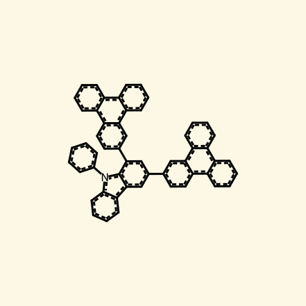 c1ccc(-n2c3ccccc3c3cc(-c4ccc5c6ccccc6c6ccccc6c5c4)cc(-c4ccc5c6ccccc6c6ccccc6c5c4)c32)cc1